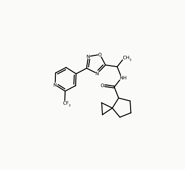 CC(NC(=O)C1CCCC12CC2)c1nc(-c2ccnc(C(F)(F)F)c2)no1